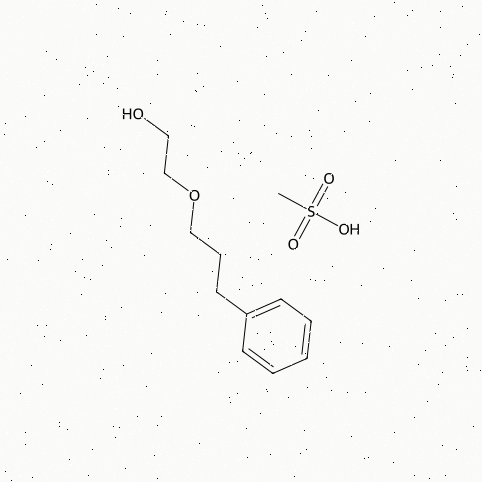 CS(=O)(=O)O.OCCOCCCc1ccccc1